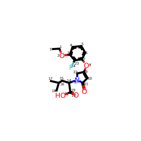 CCOc1cccc(OC2=CC(=O)N(C(CC(C)C)C(=O)O)C2)c1F